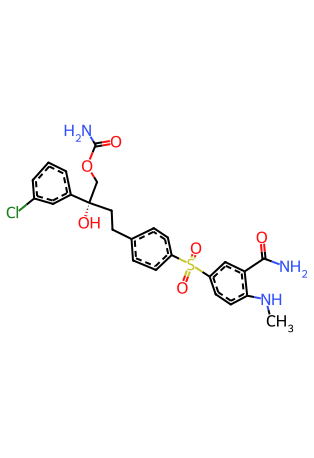 CNc1ccc(S(=O)(=O)c2ccc(CC[C@](O)(COC(N)=O)c3cccc(Cl)c3)cc2)cc1C(N)=O